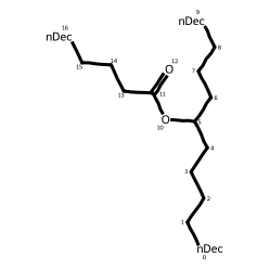 CCCCCCCCCCCCCCC(CCCCCCCCCCCCC)OC(=O)CCCCCCCCCCCCC